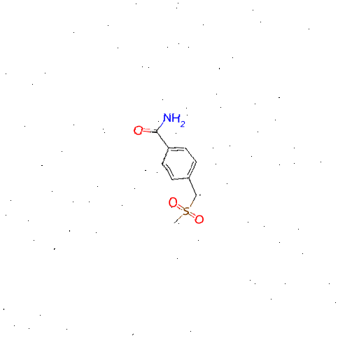 CS(=O)(=O)[CH]c1ccc(C(N)=O)cc1